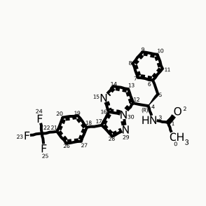 CC(=O)N[C@H](Cc1ccccc1)c1ccnc2c(-c3ccc(C(F)(F)F)cc3)cnn12